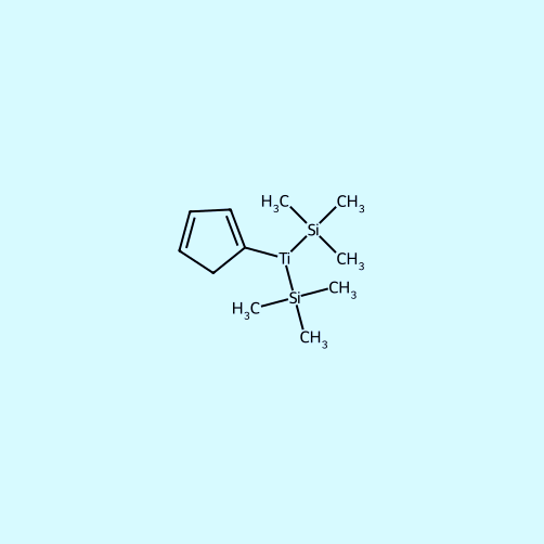 C[Si](C)(C)[Ti]([C]1=CC=CC1)[Si](C)(C)C